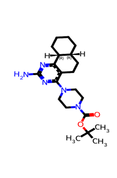 CC(C)(C)OC(=O)N1CCN(c2nc(N)nc3c2CC[C@H]2CCCC[C@@H]32)CC1